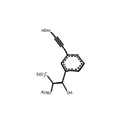 CCCCCCCCCCC#Cc1cccc(C(O)C(NC(C)=O)C(=O)OCC)c1